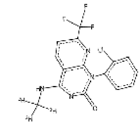 [2H]C([2H])([2H])Nc1nc(=O)n(-c2ccccc2Cl)c2nc(C(F)(F)F)ccc12